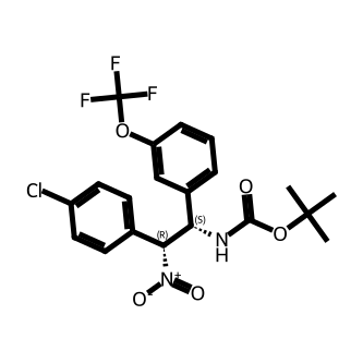 CC(C)(C)OC(=O)N[C@@H](c1cccc(OC(F)(F)F)c1)[C@@H](c1ccc(Cl)cc1)[N+](=O)[O-]